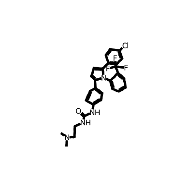 CN(C)CCNC(=O)Nc1ccc(-c2ccc(-c3ccc(Cl)cc3)n2-c2ccccc2C(F)(F)F)cc1